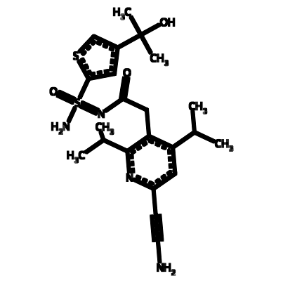 CC(C)c1cc(C#CN)nc(C(C)C)c1CC(=O)N=S(N)(=O)c1cc(C(C)(C)O)cs1